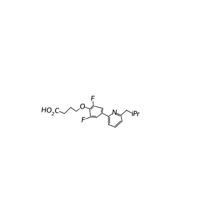 CC(C)Cc1cccc(-c2cc(F)c(OCCCC(=O)O)c(F)c2)n1